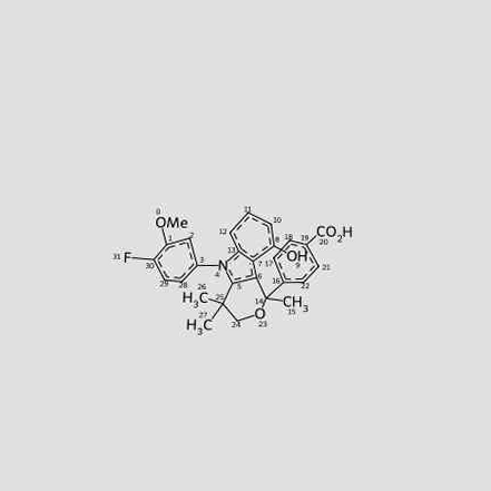 COc1cc(-n2c3c(c4c(O)cccc42)C(C)(c2ccc(C(=O)O)cc2)OCC3(C)C)ccc1F